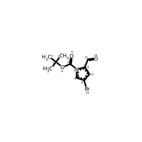 CC(C)(C)OC(=O)n1cc(Br)cc1C=O